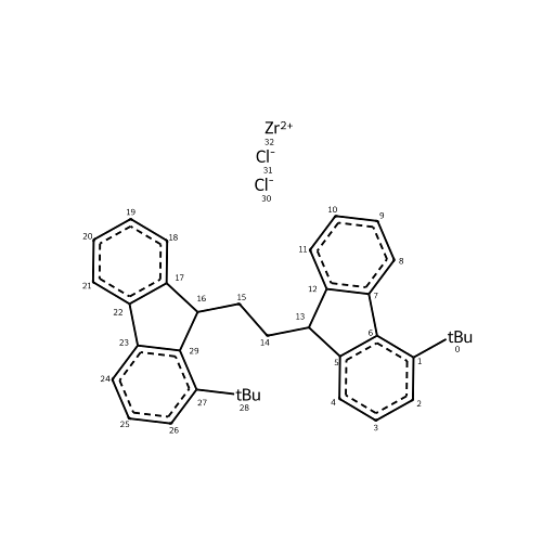 CC(C)(C)c1cccc2c1-c1ccccc1C2CCC1c2ccccc2-c2cccc(C(C)(C)C)c21.[Cl-].[Cl-].[Zr+2]